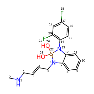 CNCC=CCN1c2ccccc2N(c2ccc(F)cc2F)S1(O)O